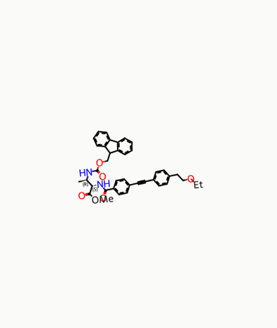 CCOCCc1ccc(C#Cc2ccc(C(=O)N[C@H](C(=O)OC)[C@@H](C)NC(=O)OCC3c4ccccc4-c4ccccc43)cc2)cc1